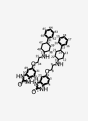 O=c1[nH]c2ccc(OCCNC3CCC(c4ccccc4)CC3)cc2[nH]1.O=c1[nH]c2ccc(OCCNC3CCC(c4ccccc4)CC3)cc2[nH]1